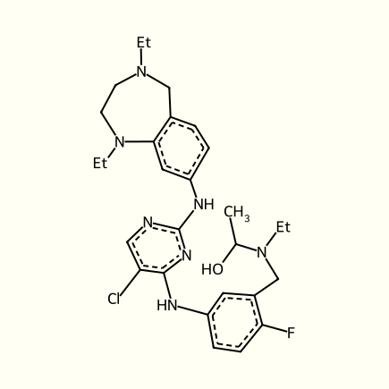 CCN1CCN(CC)c2cc(Nc3ncc(Cl)c(Nc4ccc(F)c(CN(CC)C(C)O)c4)n3)ccc2C1